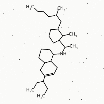 CCCCC(C)CC1CCCC(C(C)NC2CCCC3CC(C(CC)CC)=CCC32)C1C